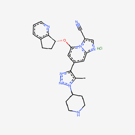 Cc1c(-c2cc(O[C@@H]3CCc4cccnc43)n3c(C#N)cnc3c2)nnn1C1CCNCC1.Cl